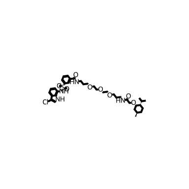 CC(C)[C@@H]1CC[C@@H](C)C[C@H]1OCC(=O)NCCCOCCOCCOCCCNC(=O)c1cccc(S(=O)(=O)Nc2cccc3c(Cl)c[nH]c23)c1